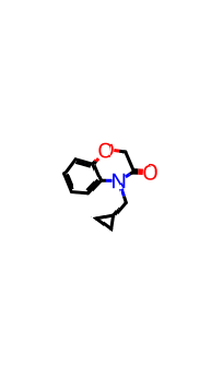 O=C1COc2ccccc2N1CC1CC1